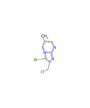 Cc1cnc2nc(CCl)c(Br)n2c1